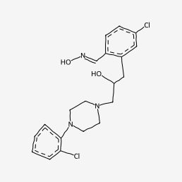 ON=Cc1ccc(Cl)cc1CC(O)CN1CCN(c2ccccc2Cl)CC1